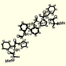 CN[C@@H](C)C(=O)N[C@H](C(=O)N1CCC[C@H]1C(=O)Nc1ccccc1-c1ccccc1NC(=O)[C@@H]1CCCN1C(C)(O)[C@@H](NC(=O)[C@H](C)NC)C1CCCCC1)C1CCCCC1